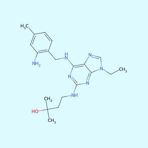 CCn1cnc2c(NCc3ccc(C)cc3N)nc(NCCC(C)(C)O)nc21